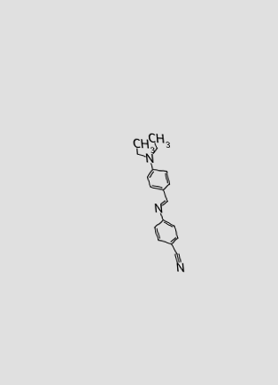 CCN(CC)c1ccc(C=Nc2ccc(C#N)cc2)cc1